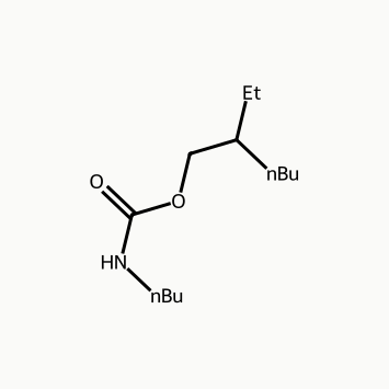 CCCCNC(=O)OCC(CC)CCCC